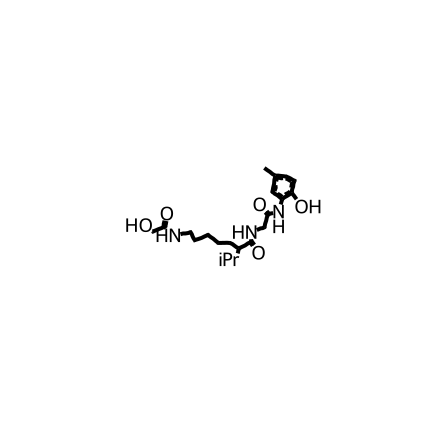 Cc1ccc(O)c(NC(=O)CNC(=O)C(CCCCCNC(=O)CO)C(C)C)c1